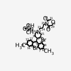 CS(=O)(=O)O.Cc1ccc(C(c2ccc(C)cc2Br)C2CCN(CCCN3C(=O)COCC3=O)CC2)c(Br)c1